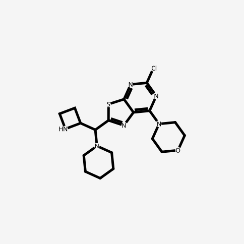 Clc1nc(N2CCOCC2)c2nc(C(C3CCN3)N3CCCCC3)sc2n1